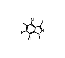 Cn1nc(I)c2c(Cl)c(I)c(I)c(Cl)c21